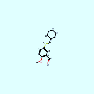 COc1ccc(SCC2CCCCC2)cc1C=O